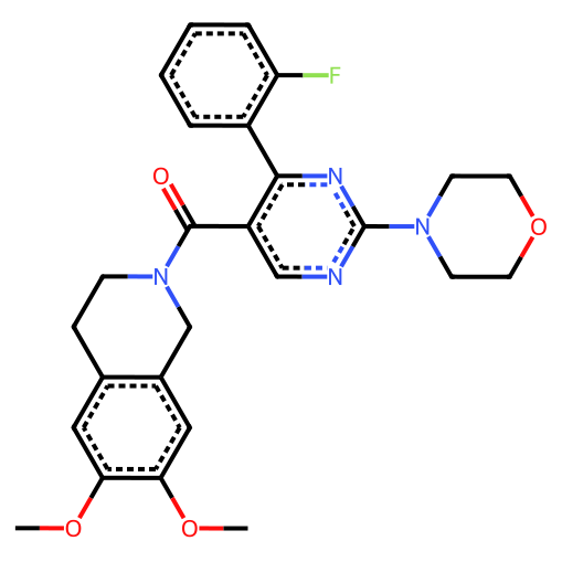 COc1cc2c(cc1OC)CN(C(=O)c1cnc(N3CCOCC3)nc1-c1ccccc1F)CC2